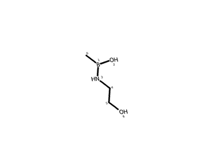 CB(O)NCCO